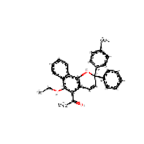 COC(=O)c1c2c(c3ccccc3c1OCC#N)OC(c1ccccc1)(c1ccc(OC)cc1)C=C2